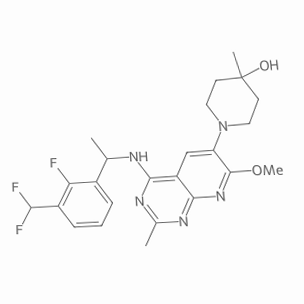 COc1nc2nc(C)nc(NC(C)c3cccc(C(F)F)c3F)c2cc1N1CCC(C)(O)CC1